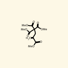 C=C(CC(C(=O)OC)(C(=O)OC)C(=O)OC)C(=O)OC